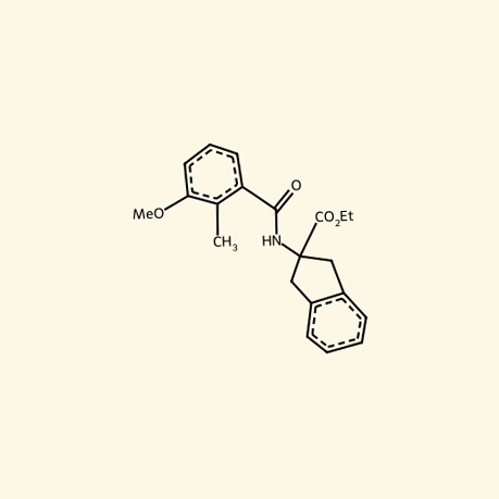 CCOC(=O)C1(NC(=O)c2cccc(OC)c2C)Cc2ccccc2C1